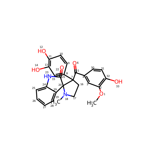 COc1cc(C(=O)C2(c3ccc(O)c(O)c3)CCN(C)C23C(=O)Nc2ccccc23)ccc1O